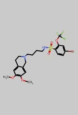 COc1cc2c(cc1OC)CN(CCCCNS(=O)(=O)c1ccc(Br)cc1OC(F)(F)F)CC2